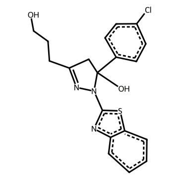 OCCCC1=NN(c2nc3ccccc3s2)C(O)(c2ccc(Cl)cc2)C1